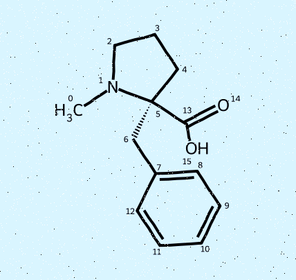 CN1CCC[C@@]1(Cc1ccccc1)C(=O)O